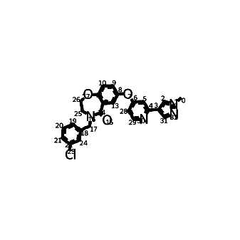 Cn1cc(-c2cc(Oc3ccc4c(c3)C(=O)N(Cc3cccc(Cl)c3)CCO4)ccn2)cn1